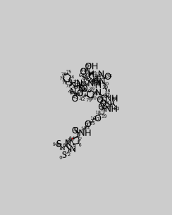 CSCc1nc2ccc(C(=O)NCCOCCOCCC(=O)N[C@H](C(=O)N[C@@H](CCCNC(N)=O)C(=O)Nc3ccc(COC(=O)N(C)[C@H](C(=O)N[C@H](C(=O)N[C@H](/C=C(\C)C(=O)O)C(C)C)C(C)(C)C)C(C)(C)c4ccccc4)cc3)C(C)C)cc2nc1CSC